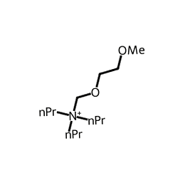 CCC[N+](CCC)(CCC)COCCOC